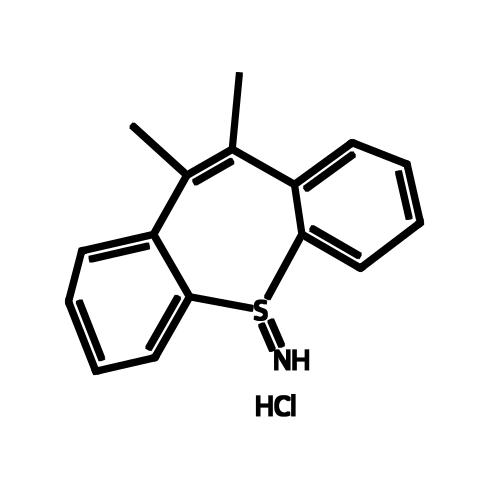 CC1=C(C)c2ccccc2S(=N)c2ccccc21.Cl